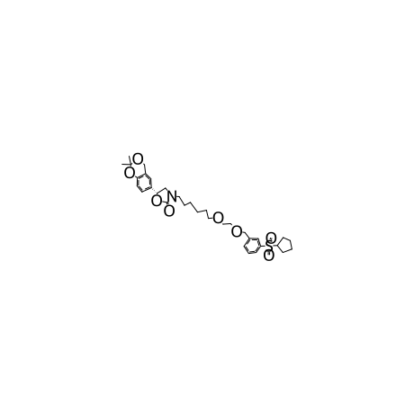 CC1(C)OCc2cc([C@@H]3CN(CCCCCCOCCOCc4cccc(S(=O)(=O)C5CCCC5)c4)C(=O)O3)ccc2O1